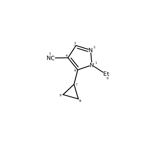 CCn1n[c]c(C#N)c1C1CC1